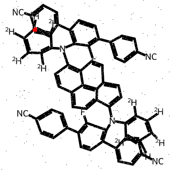 [2H]c1c([2H])c([2H])c(N(c2c(-c3ccc(C#N)cc3)ccc(-c3ccc([N+]#[C-])cc3)c2F)c2ccc3ccc4c(N(c5c([2H])c([2H])c([2H])c([2H])c5[2H])c5c(-c6ccc([N+]#[C-])cc6)ccc(-c6ccc(C#N)cc6)c5F)ccc5ccc2c3c54)c([2H])c1[2H]